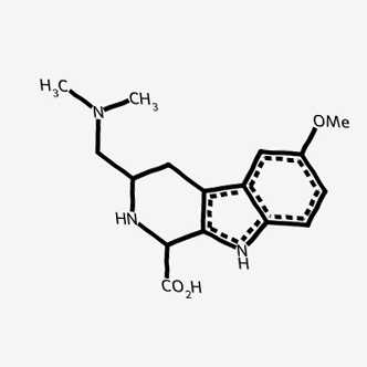 COc1ccc2[nH]c3c(c2c1)CC(CN(C)C)NC3C(=O)O